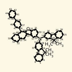 CC1(C)c2ccccc2-c2ccc(N(c3ccc4c(c3)C(C)(C)c3ccccc3-4)c3ccc4oc5c(-c6ccc(-c7ccccc7)cc6)c6ccccc6cc5c4c3)cc21